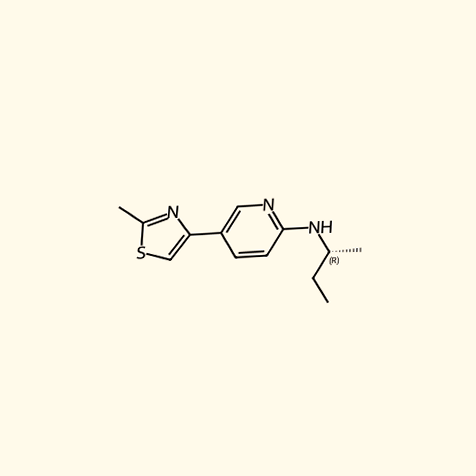 CC[C@@H](C)Nc1ccc(-c2csc(C)n2)cn1